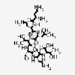 CC(C)C[C@@H](NC(=O)[C@H](CCN)NC(=O)[C@@H](N)CCN)C(=O)N[C@H](C(=O)N[C@@H](CO)C(=O)N[C@@H](CCN)C(=O)N[C@H](C(=O)O)[C@@H](C)O)[C@@H](C)O